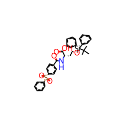 CC(C)(C)[Si](OCC[C@H](NC(=O)c1ccc(S(=O)(=O)c2ccccc2)cc1)C(=O)O)(c1ccccc1)c1ccccc1